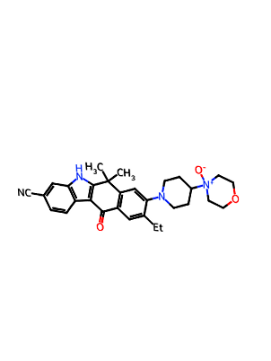 CCc1cc2c(cc1N1CCC([N+]3([O-])CCOCC3)CC1)C(C)(C)c1[nH]c3cc(C#N)ccc3c1C2=O